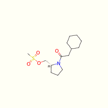 CS(=O)(=O)OC[C@H]1CCCN1C(=O)CC1CCCCC1